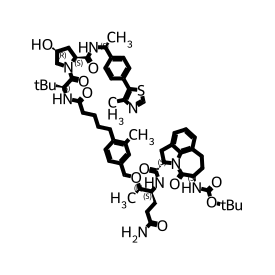 Cc1cc(CO[C@H](C)[C@H](CCC(N)=O)NC(=O)[C@@H]2Cc3cccc4c3N2C(=O)[C@@H](NC(=O)OC(C)(C)C)CC4)ccc1CCCCC(=O)N[C@H](C(=O)N1C[C@H](O)C[C@H]1C(=O)N[C@@H](C)c1ccc(-c2scnc2C)cc1)C(C)(C)C